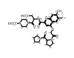 CCOC(=O)N1CCN(C(=O)C(CC(=O)O)NC(=O)c2cc(OCC(=O)N3CCCC3C(=O)N3CCCC3)c3cc(F)c(C)cc3n2)CC1